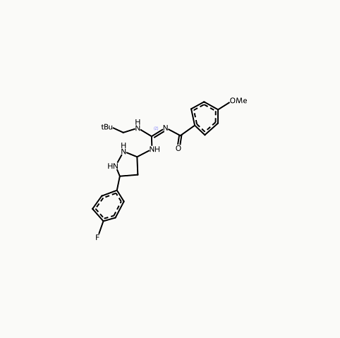 COc1ccc(C(=O)/N=C(/NCC(C)(C)C)NC2CC(c3ccc(F)cc3)NN2)cc1